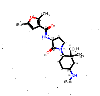 Cc1oc(C(C)(C)C)cc1C(=O)N[C@H]1CCN(C2CCC(NC(C)(C)C)CC2(C)C(=O)O)C1=O